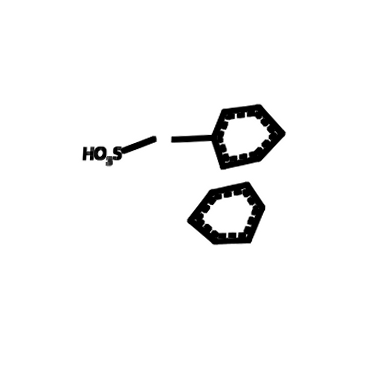 CS(=O)(=O)O.Cc1ccccc1.c1ccccc1